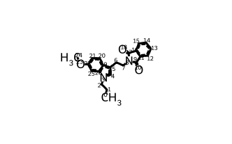 CCCn1cc(CCN2C(=O)c3ccccc3C2=O)c2ccc(OC)cc21